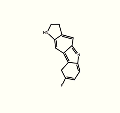 FC1=CC=C2N=c3cc4c(cc3=C2C1)NCC4